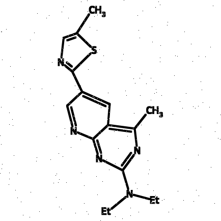 CCN(CC)c1nc(C)c2cc(-c3ncc(C)s3)cnc2n1